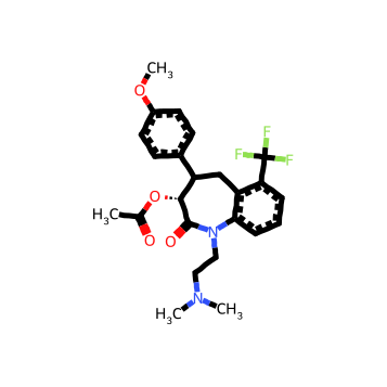 COc1ccc(C2Cc3c(cccc3C(F)(F)F)N(CCN(C)C)C(=O)[C@@H]2OC(C)=O)cc1